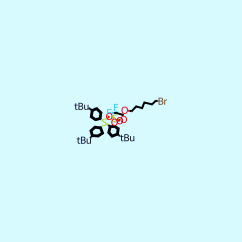 CC(C)(C)c1ccc(S(OS(=O)(=O)C(F)(F)C(=O)OCCCCCCBr)(c2ccc(C(C)(C)C)cc2)c2ccc(C(C)(C)C)cc2)cc1